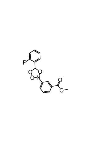 COC(=O)c1cccc(N2OOC(c3ccccc3F)O2)c1